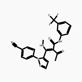 CN/C(=C(/C(C)=O)C(=O)Nc1cccc(C(F)(F)F)c1)c1ccnn1-c1ccc(C#N)cc1